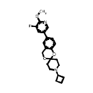 COc1ncc(-c2ccc3c(c2)COC2(CCN(C4CCC4)CC2)O3)cc1F